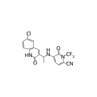 CC(Nc1ccc(C#N)n(C(F)(F)F)c1=O)c1cc2cc(Cl)ccc2[nH]c1=O